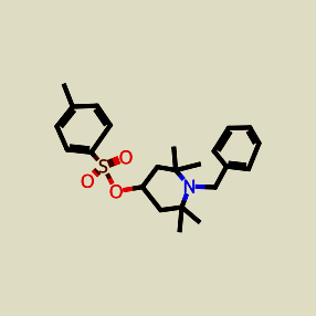 Cc1ccc(S(=O)(=O)OC2CC(C)(C)N(Cc3ccccc3)C(C)(C)C2)cc1